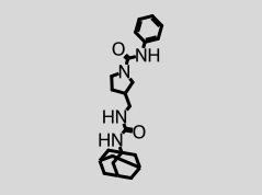 O=C(NCC1CCN(C(=O)Nc2ccccc2)C1)NC12CC3CC(CC(C3)C1)C2